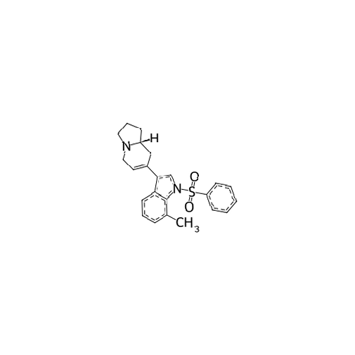 Cc1cccc2c(C3=CCN4CCC[C@@H]4C3)cn(S(=O)(=O)c3ccccc3)c12